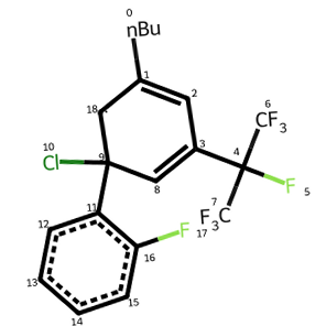 CCCCC1=CC(C(F)(C(F)(F)F)C(F)(F)F)=CC(Cl)(c2ccccc2F)[CH]1